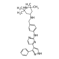 CC1(C)CC(NCc2ccc(Nc3nccc(-c4c[nH]nc4-c4ccccc4)n3)cc2)CC(C)(C)N1